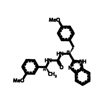 COc1ccc(C[C@@H](NC(=O)N[C@H](C)c2cccc(OC)c2)c2nc3ccccc3[nH]2)cc1